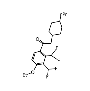 CCCC1CCC(CC(=O)c2ccc(OCC)c(C(F)F)c2C(F)F)CC1